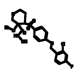 CCOC1(C(=O)NO)COCCC1S(=O)(=O)c1ccc(OCc2ccc(F)cc2Cl)cc1